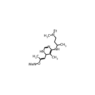 CCN(C)CCC(C)NC1=C(C)C(/C=C(\C)ONC)NC=N1